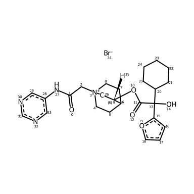 O=C(C[N+]12CCC(CC1)[C@@H](OC(=O)C(O)(c1ccco1)C1CCCCC1)C2)Nc1cncnc1.[Br-]